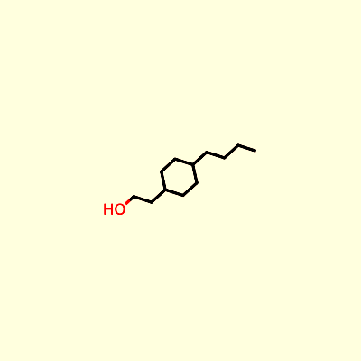 CCCCC1CCC(CCO)CC1